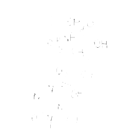 Cc1nc2c(ncn2[C@@H]2O[C@H](C(C)OP(=O)(NC(C)C(=O)CO)Oc3ccccc3)C(O)C2O)c(=O)[nH]1